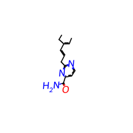 CC=C(C=CCc1nccc(C(N)=O)n1)CC